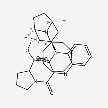 COC(=O)C1CCCN1C(=O)c1nc2ccccc2n([C@H]2C[C@H]3CC[C@@H](C2)N3C2CCCCCCC2)c1=O